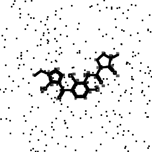 CCn1ncc(C(=O)c2ccc(Cl)c(NC(=O)N3CCN(C)C3=O)c2Cl)c1O